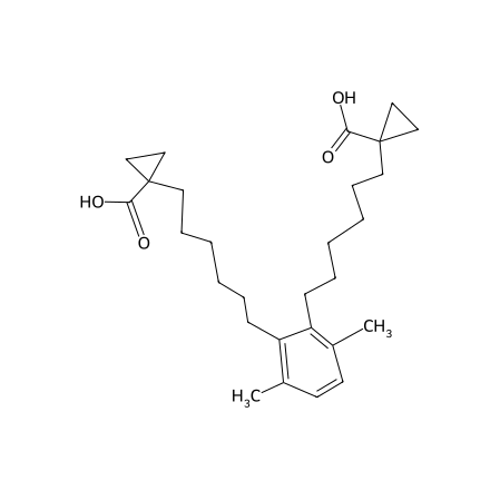 Cc1ccc(C)c(CCCCCCC2(C(=O)O)CC2)c1CCCCCCC1(C(=O)O)CC1